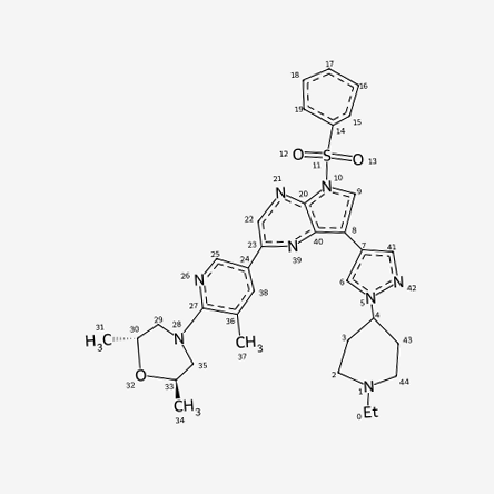 CCN1CCC(n2cc(-c3cn(S(=O)(=O)c4ccccc4)c4ncc(-c5cnc(N6C[C@@H](C)O[C@H](C)C6)c(C)c5)nc34)cn2)CC1